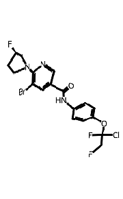 O=C(Nc1ccc(OC(F)(Cl)CF)cc1)c1cnc(N2CC[C@@H](F)C2)c(Br)c1